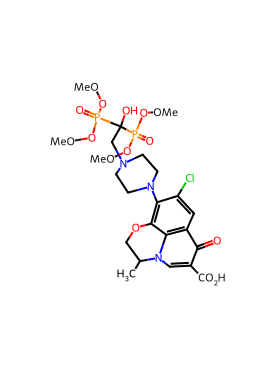 COOP(=O)(OOC)C(O)(CN1CCN(c2c(Cl)cc3c(=O)c(C(=O)O)cn4c3c2OCC4C)CC1)P(=O)(OOC)OOC